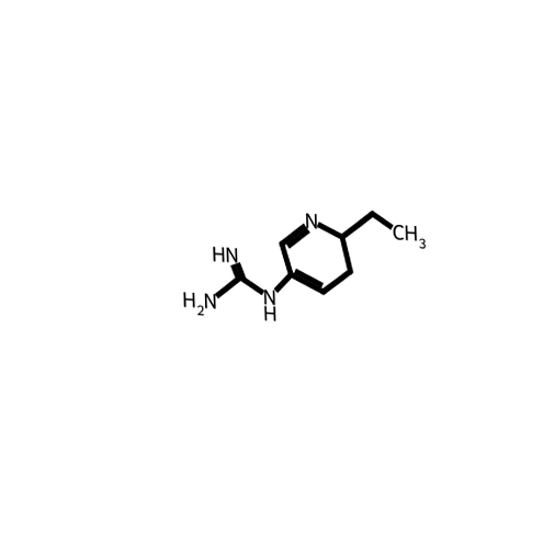 CCC1CC=C(NC(=N)N)C=N1